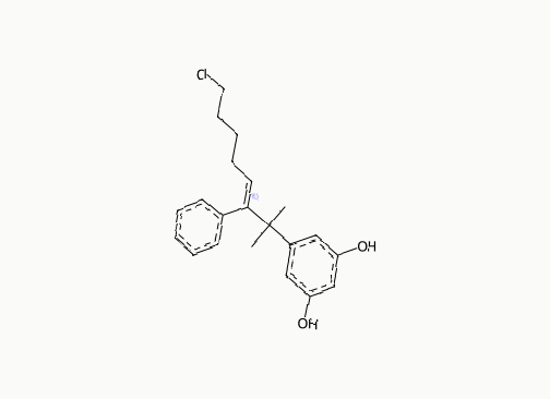 CC(C)(/C(=C/CCCCCl)c1ccccc1)c1cc(O)cc(O)c1